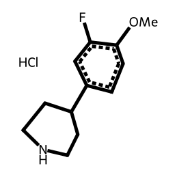 COc1ccc(C2CCNCC2)cc1F.Cl